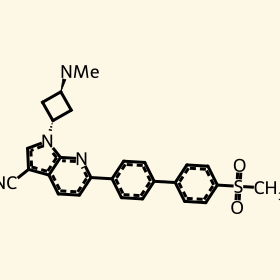 CN[C@H]1C[C@H](n2cc(C#N)c3ccc(-c4ccc(-c5ccc(S(C)(=O)=O)cc5)cc4)nc32)C1